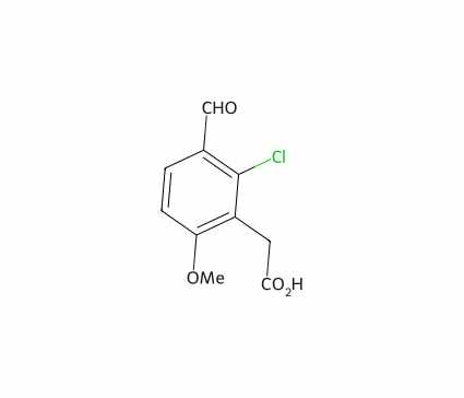 COc1ccc(C=O)c(Cl)c1CC(=O)O